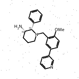 COc1ccc(-c2cccnc2)cc1CN1CCC[C@H](N)[C@@H]1c1ccccc1